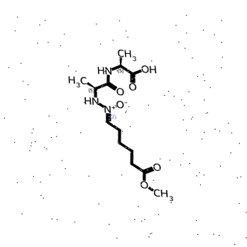 COC(=O)CCCC/C=[N+](\[O-])N[C@@H](C)C(=O)N[C@@H](C)C(=O)O